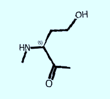 CN[C@@H](CCO)C(C)=O